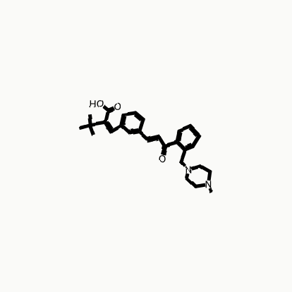 CN1CCN(Cc2ccccc2C(=O)C=Cc2cccc(C=C(C(=O)O)C(C)(C)C)c2)CC1